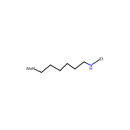 [CH2]CNCCCCCCNC